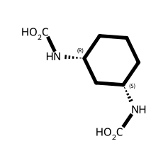 O=C(O)N[C@@H]1CCC[C@H](NC(=O)O)C1